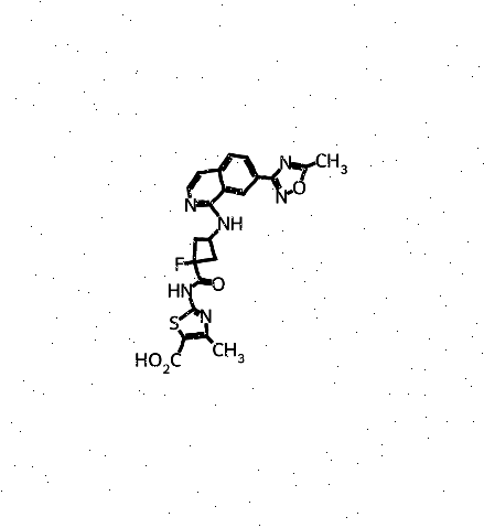 Cc1nc(-c2ccc3ccnc(NC4CC(F)(C(=O)Nc5nc(C)c(C(=O)O)s5)C4)c3c2)no1